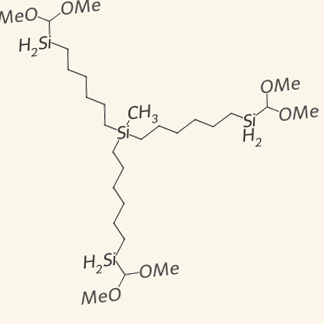 COC(OC)[SiH2]CCCCCC[Si](C)(CCCCCC[SiH2]C(OC)OC)CCCCCC[SiH2]C(OC)OC